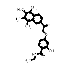 CCNC(=O)c1ccc(OCC(=O)c2ccc3c(C)c(C)c(C)c(C)c3c2)cc1O